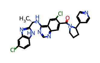 C[C@H](Nc1ncnc2cc(C(=O)N3CCCC3c3ccncc3)c(Cl)cc12)c1nc2cc(Cl)ccc2[nH]1